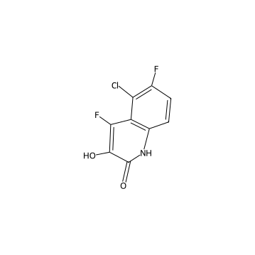 O=c1[nH]c2ccc(F)c(Cl)c2c(F)c1O